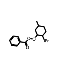 CC1CCC(C(C)C)[C](OOC(=O)c2ccccc2)C1